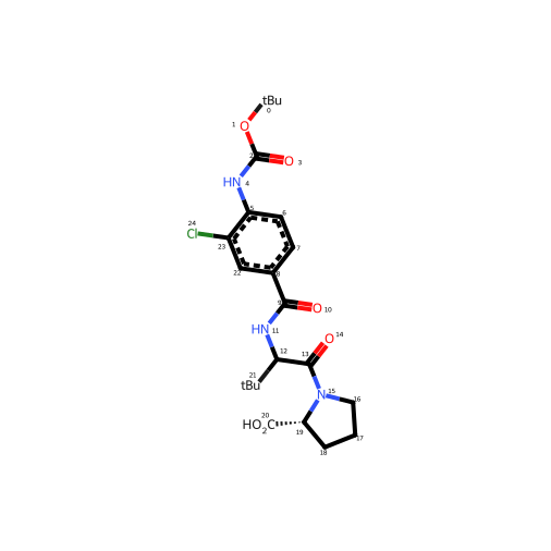 CC(C)(C)OC(=O)Nc1ccc(C(=O)NC(C(=O)N2CCC[C@@H]2C(=O)O)C(C)(C)C)cc1Cl